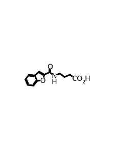 O=C(O)CCCNC(=O)c1cc2ccccc2o1